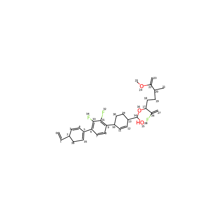 C=CC1C=CC(c2ccc(C3C=CC(C(O)OC(CCC(C)C(=C)OC)C(=C)F)CC3)c(F)c2F)=CC1